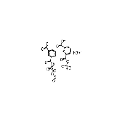 O=C([O-])c1cccc(C(=O)O[SH](=O)=O)c1.O=C([O-])c1cccc(C(=O)O[SH](=O)=O)c1.O=S=O.[Na+].[Na+]